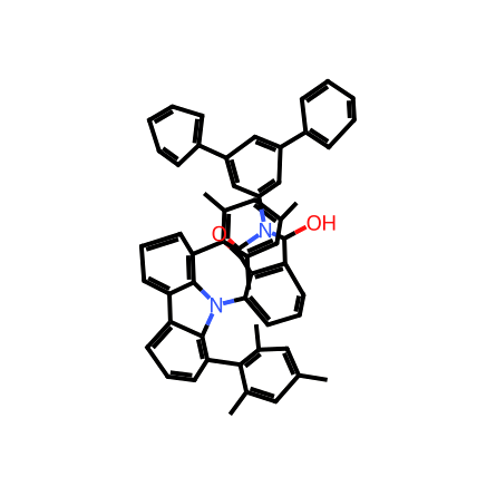 Cc1cc(C)c(-c2cccc3c4cccc(-c5c(C)cc(C)cc5C)c4n(-c4cccc5c4C(=O)N(c4cc(-c6ccccc6)cc(-c6ccccc6)c4)C5O)c23)c(C)c1